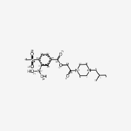 CC(C)CN1CCN(C(=O)COC(=O)c2ccc(S(C)(=O)=O)c(N(O)O)c2)CC1